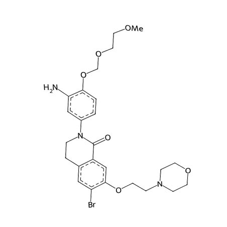 COCCOCOc1ccc(N2CCc3cc(Br)c(OCCN4CCOCC4)cc3C2=O)cc1N